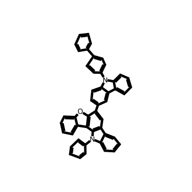 c1ccc(-c2ccc(-n3c4ccccc4c4cc(-c5cc6c7ccccc7n(-c7ccccc7)c6c6c5oc5ccccc56)ccc43)cc2)cc1